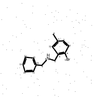 Cc1ccc(Br)c(CNCc2ccccc2)c1